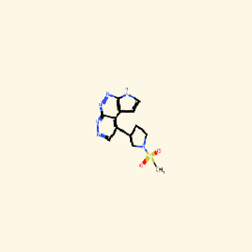 CS(=O)(=O)N1CCC(c2cnnc3nnc4[nH]ccc4c23)C1